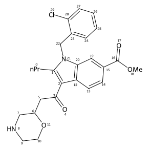 CCCc1c(C(=O)CC2CNCCO2)c2ccc(C(=O)OC)cc2n1Cc1ccccc1Cl